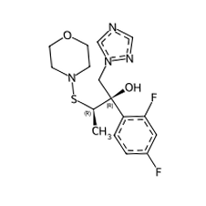 C[C@@H](SN1CCOCC1)[C@](O)(Cn1cncn1)c1ccc(F)cc1F